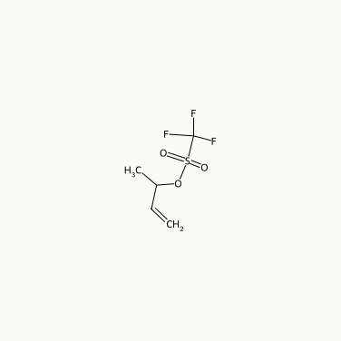 C=CC(C)OS(=O)(=O)C(F)(F)F